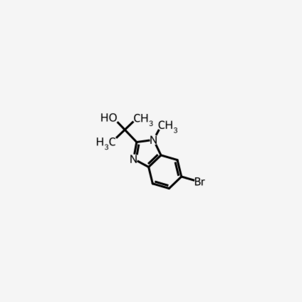 Cn1c(C(C)(C)O)nc2ccc(Br)cc21